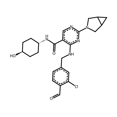 O=Cc1ccc(CNc2nc(N3CC4CC4C3)ncc2C(=O)N[C@H]2CC[C@H](O)CC2)cc1Cl